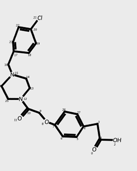 O=C(O)Cc1ccc(OCC(=O)N2CCN(Cc3ccc(Cl)cc3)CC2)cc1